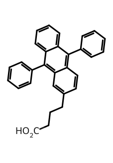 O=C(O)CCCc1ccc2c(-c3ccccc3)c3ccccc3c(-c3ccccc3)c2c1